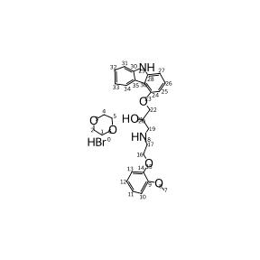 Br.C1COCCO1.COc1ccccc1OCCNCC(O)COc1cccc2[nH]c3ccccc3c12